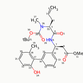 C=CC[C@@H](C(=O)N[C@@H](CC(=O)OC)c1cccc(-c2c(C)cccc2O)c1)N(C)C(=O)OC(C)(C)C